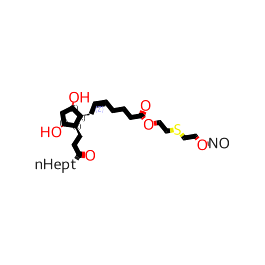 CCCCCCCC(=O)CC[C@@H]1[C@@H](C/C=C\CCCC(=O)OCCSCCON=O)[C@@H](O)C[C@H]1O